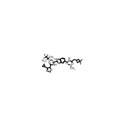 COC[C@@H](NC(=O)CC1CC(F)(F)C1)c1ccc2[nH]c([C@H](COC(C)(C)C(F)(F)F)NC(=O)c3nonc3C3CC3)nc2c1